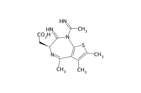 CC(=N)N1C(=N)[C@H](CC(=O)O)N=C(C)c2c1sc(C)c2C